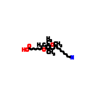 Cc1c(C)c2c(c(C)c1OCCCCCCC(=O)O)CCC(C)(C=CCCCCCCC#N)O2